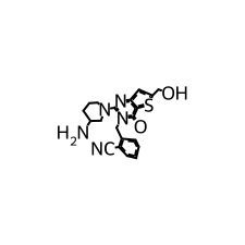 N#Cc1ccccc1Cn1c(N2CCCC(N)C2)nc2cc(CO)sc2c1=O